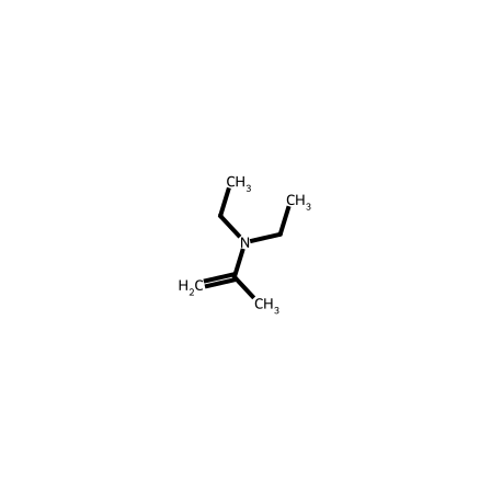 C=C(C)N(CC)CC